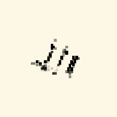 C=C.O=C(O)Br.O=C(O)Br